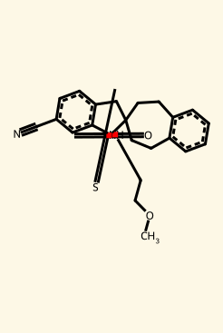 COCCN1C(=O)C2(NC1=S)c1cc(C#N)ccc1CC21CCc2ccccc2CC1